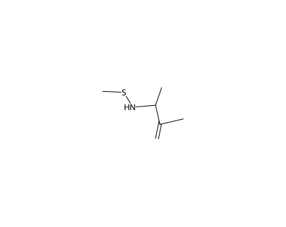 C=C(C)C(C)NSC